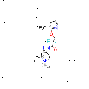 C[C@H]1C[C@@H](NC(=O)C(F)(F)COc2ncccc2C(F)(F)F)CCN1C